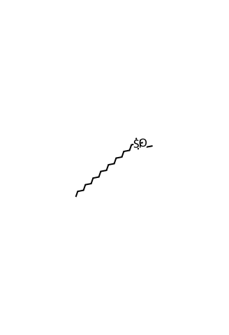 CCCCCCCCCCCCCCCC[Si](C)(C)OCC